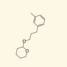 Cc1cccc(CCCOC2CCCCO2)c1